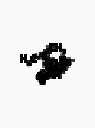 CCCC[N+](CCCC)(CCCC)CCCC.O=C(NCCS(=O)(=O)[O-])Oc1ccc([N+](=O)[O-])cc1